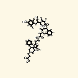 COC(=O)CCN1CCC(C(=O)OC)(N(C(=O)CCNC(=O)CN2Cc3ccccc3C[C@H](NC(=O)[C@@H](C)N(C)C(=O)[C@@H](N)Cc3c(C)cc(O)cc3C)C2=O)c2ccccc2)CC1